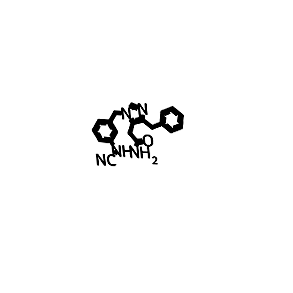 N#CNc1cccc(Cn2cnc(Cc3ccccc3)c2CC(N)=O)c1